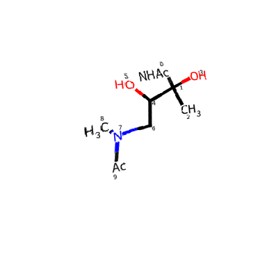 CC(=O)NC(C)(O)C(O)CN(C)C(C)=O